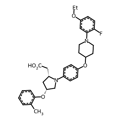 CCOc1ccc(F)c(N2CCC(Oc3ccc(N4C[C@H](Oc5ccccc5C)C[C@@H]4CC(=O)O)cc3)CC2)c1